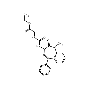 CCOC(=O)CNC(=O)NC1N=C(c2ccccc2)c2ccccc2N(C)C1=O